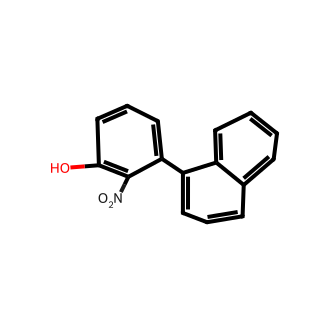 O=[N+]([O-])c1c(O)cccc1-c1cccc2ccccc12